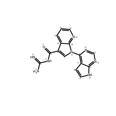 N=C(N)NC(=O)c1cn(-c2ncnc3[nH]ccc23)c2ncccc12